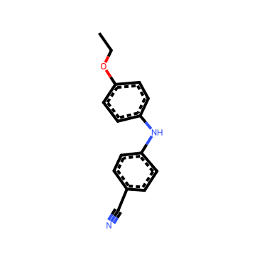 CCOc1ccc(Nc2ccc(C#N)cc2)cc1